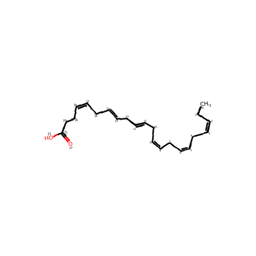 CC/C=C\C/C=C\C/C=C\C/C=C/C/C=C/C/C=C\CCC(=O)O